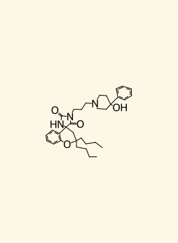 CCCCC1(CCCC)CC2(NC(=O)N(CCCN3CCC(O)(c4ccccc4)CC3)C2=O)c2ccccc2O1